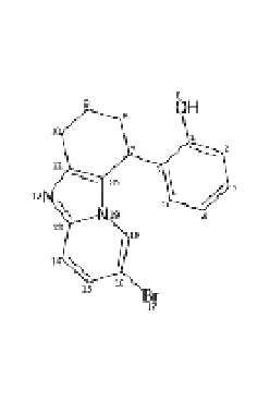 Oc1ccccc1C1CCCc2nc3ccc(Br)cn3c21